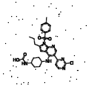 CCCc1cc2c(NC3CCC(NC(=O)O)CC3)c(-c3ccnc(Cl)n3)cnc2n1S(=O)(=O)c1ccc(C)cc1